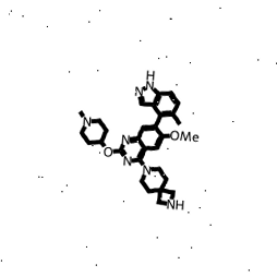 COc1cc2c(N3CCC4(CC3)CNC4)nc(OC3CCN(C)CC3)nc2cc1-c1c(C)ccc2[nH]ncc12